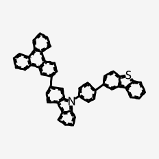 c1ccc2c(c1)sc1ccc(-c3ccc(-n4c5ccccc5c5ccc(-c6ccc7c8ccccc8c8ccccc8c7c6)cc54)cc3)cc12